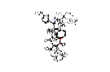 CC(C)(O/N=C(\C(=O)N[C@@H]1C(=O)N2C(C(=O)O)=C(C[N+]3(C)[C@@H]4CC[C@H]3C[C@@H](NC(=O)c3ccc(O)c(O)c3Cl)C4)CS[C@H]12)c1csc(N)n1)C(=O)O